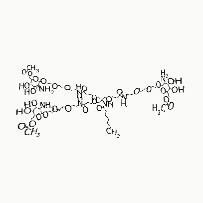 CCCCCCC(=O)NC(COCCC(=O)NCCOCCOCCOC1OC(COC(C)=O)C(O)C(O)C1N)(COCCC(=O)NCCOCCOCCOC1OC(COC(C)=O)C(O)C(O)C1N)COCCC(=O)NCCOCCOCCOC1OC(COC(C)=O)C(O)C(O)[C@@H]1N